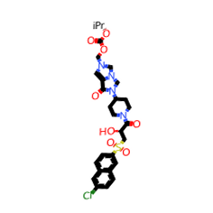 CC(C)OC(=O)OCN1C=C2C(=O)N(C3CCN(C(=O)[C@H](O)CS(=O)(=O)c4ccc5cc(Cl)ccc5c4)CC3)CN2C1